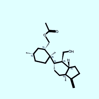 C=C1CC[C@H]2[C@H](CO)[C@@H]([C@@]3(C)CC[C@H](C)C[C@@H]3COC(C)=O)CC[C@]12C